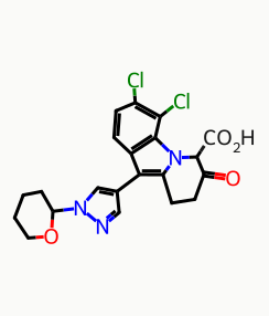 O=C(O)C1C(=O)CCc2c(-c3cnn(C4CCCCO4)c3)c3ccc(Cl)c(Cl)c3n21